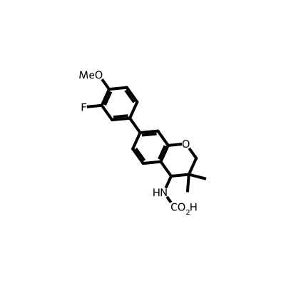 COc1ccc(-c2ccc3c(c2)OCC(C)(C)C3NC(=O)O)cc1F